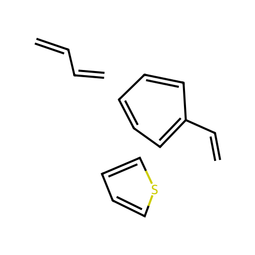 C=CC=C.C=Cc1ccccc1.c1ccsc1